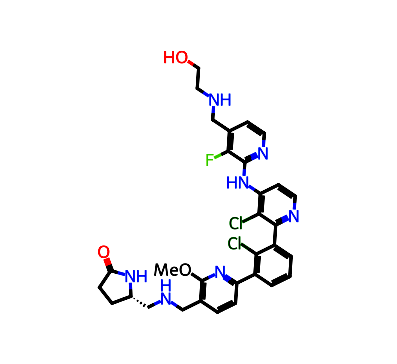 COc1nc(-c2cccc(-c3nccc(Nc4nccc(CNCCO)c4F)c3Cl)c2Cl)ccc1CNC[C@@H]1CCC(=O)N1